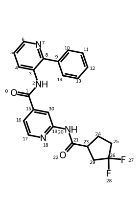 O=C(Nc1cccnc1-c1ccccc1)c1ccnc(NC(=O)C2CCC(F)(F)C2)c1